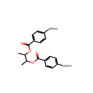 CCCCCc1ccc(C(=O)OC(C)C(C)OC(=O)c2ccc(CCCCC)cc2)cc1